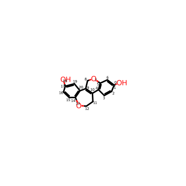 Oc1ccc2c(c1)OCC1=C2CCOc2ccc(O)cc21